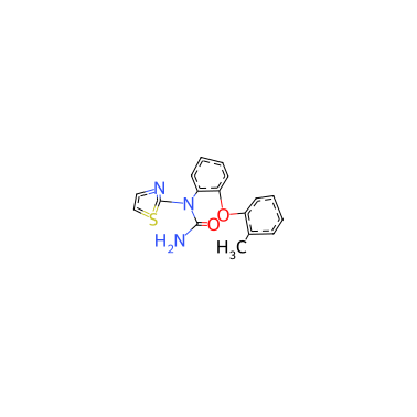 Cc1ccccc1Oc1ccccc1N(C(N)=O)c1nccs1